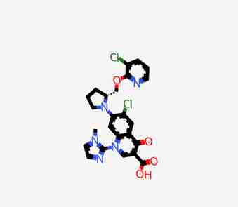 Cn1ccnc1-n1cc(C(=O)O)c(=O)c2cc(Cl)c(N3CCC[C@@H]3COc3ncccc3Cl)cc21